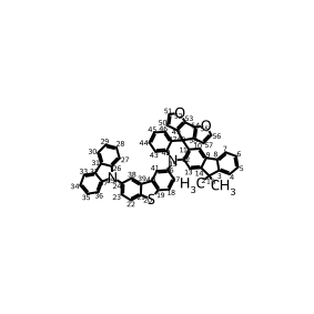 CC1(C)c2ccccc2-c2cc3c(cc21)N(c1ccc2sc4ccc(-n5c6ccccc6c6ccccc65)cc4c2c1)c1ccccc1C31c2ccoc2-c2occc21